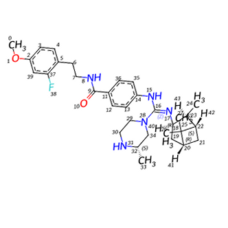 COc1ccc(CCNC(=O)c2ccc(N/C(=N/[C@@H]3C[C@H]4C[C@@H]([C@@H]3C)C4(C)C)N3CCN[C@@H](C)C3)cc2)c(F)c1